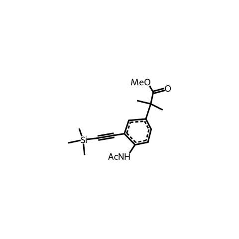 COC(=O)C(C)(C)c1ccc(NC(C)=O)c(C#C[Si](C)(C)C)c1